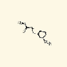 CC(C)(C)OC(=O)NC[C@@H]1CCC[C@@H](C(=O)O)C1